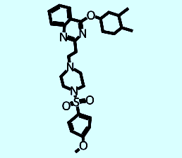 COc1ccc(S(=O)(=O)N2CCN(CCc3nc(OC4CCC(C)C(C)C4)c4ccccc4n3)CC2)cc1